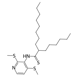 CCCCCCCCC(CCCCCC)C(=S)Nc1c(SC)ccnc1SC